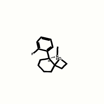 CN[C@@]1(c2ccccc2F)CCCCC12CCO2